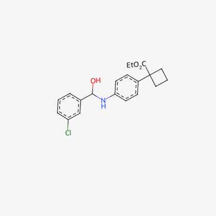 CCOC(=O)C1(c2ccc(NC(O)c3cccc(Cl)c3)cc2)CCC1